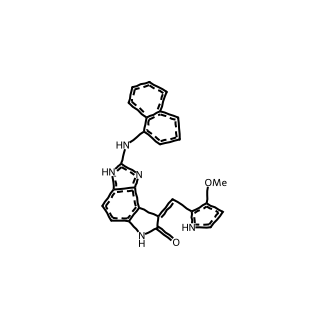 COc1cc[nH]c1C=C1C(=O)Nc2ccc3[nH]c(Nc4cccc5ccccc45)nc3c21